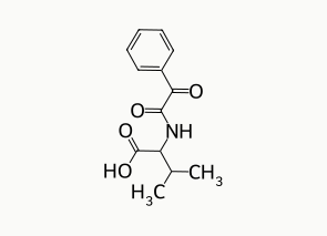 CC(C)C(NC(=O)C(=O)c1ccccc1)C(=O)O